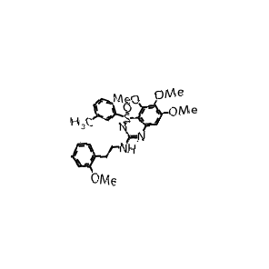 COc1ccccc1CCNC1=Nc2cc(OC)c(OC)c(OC)c2S(=O)(c2cccc(C)c2)=N1